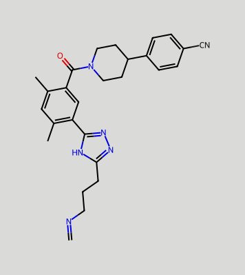 C=NCCCc1nnc(-c2cc(C(=O)N3CCC(c4ccc(C#N)cc4)CC3)c(C)cc2C)[nH]1